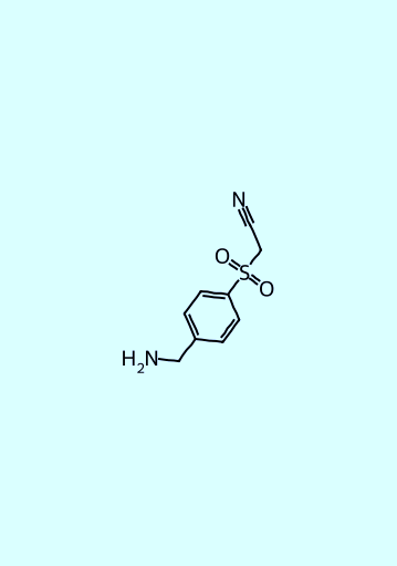 N#CCS(=O)(=O)c1ccc(CN)cc1